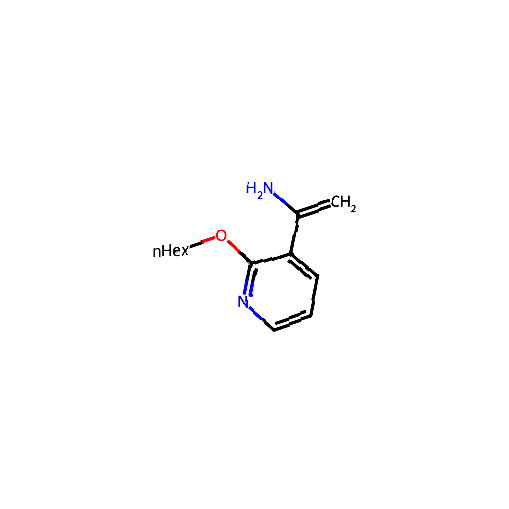 C=C(N)c1cccnc1OCCCCCC